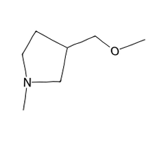 COCC1CCN(C)C1